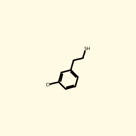 SCCc1cccc(Cl)c1